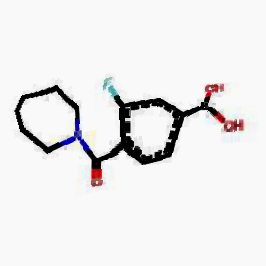 O=C(c1ccc(B(O)O)cc1F)N1CCCCC1